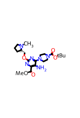 COC(=O)c1nc(OC[C@@H]2CCCN2C)nc(N2CCN(C(=O)OC(C)(C)C)CC2)c1N